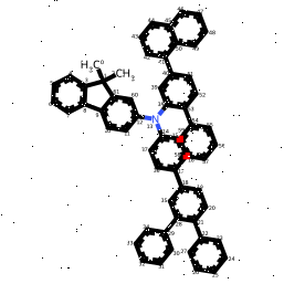 CC1(C)c2ccccc2-c2ccc(N(c3ccc(-c4ccc(-c5ccccc5)c(-c5ccccc5)c4)cc3)c3cc(-c4cccc5ccccc45)ccc3-c3ccccc3)cc21